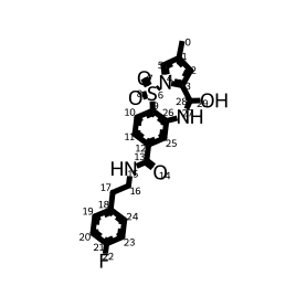 Cc1cc2n(c1)S(=O)(=O)c1ccc(C(=O)NCCc3ccc(F)cc3)cc1NC2O